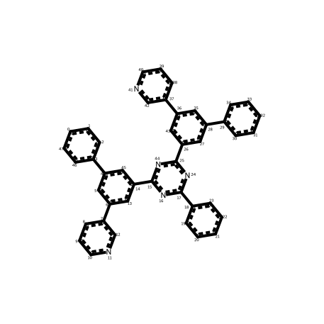 c1ccc(-c2cc(-c3cccnc3)cc(-c3nc(-c4ccccc4)nc(-c4cc(-c5ccccc5)cc(-c5cccnc5)c4)n3)c2)cc1